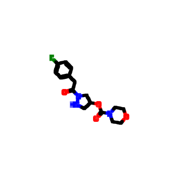 O=C(OC1CNN(C(=O)Cc2ccc(F)cc2)C1)N1CCOCC1